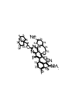 C[C@H]1CN2CCCC2(COc2nc3c4c(c(Cl)c(-c5ccc(F)c6sc(N)c(C#N)c56)c(F)c4n2)OCCC2CCC(C#N)CN32)C1